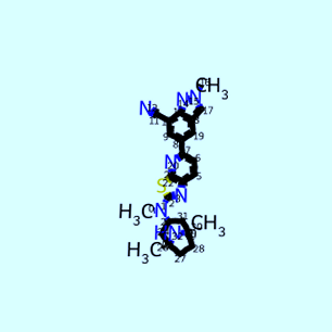 CN(c1nc2ccc(-c3cc(C#N)c4nn(C)cc4c3)nc2s1)C1C[C@]2(C)CC[C@](C)(C1)N2